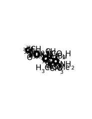 COc1c(C(N)=O)cc(C(C)(C)C)c(-c2c(C(=O)O)n(C)c3c(CN4CCN(C(=O)C5CCCN5C)CC4)cccc23)c1C(=O)N(C)C